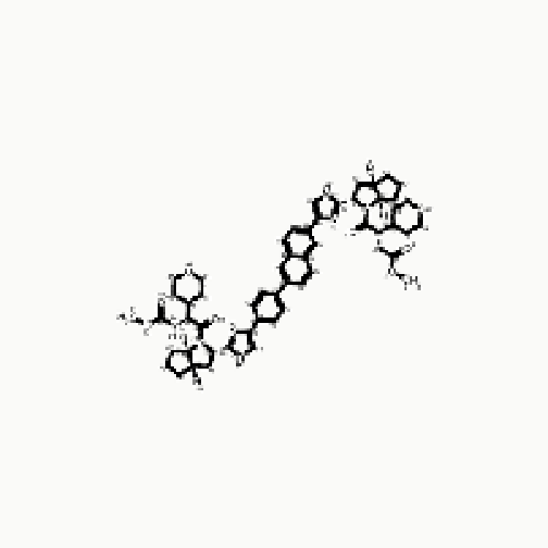 COC(=O)C[C@H](C(=O)N1[C@H](c2nc(-c3ccc4cc(-c5ccc(-c6c[nH]c([C@@H]7C[C@@H]8CCC[C@@H]8N7C(=O)[C@@H](NC(=O)OC)C7CCOCC7)n6)cc5)ccc4c3)c[nH]2)C[C@@H]2CCC[C@@H]21)C1CCOCC1